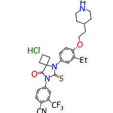 CCc1cc(N2C(=S)N(c3ccc(C#N)c(C(F)(F)F)c3)C(=O)C23CCC3)ccc1OCCC1CCNCC1.Cl